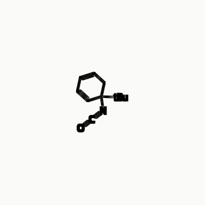 CC(C)(C)C1(N=C=O)C=CC=CC1